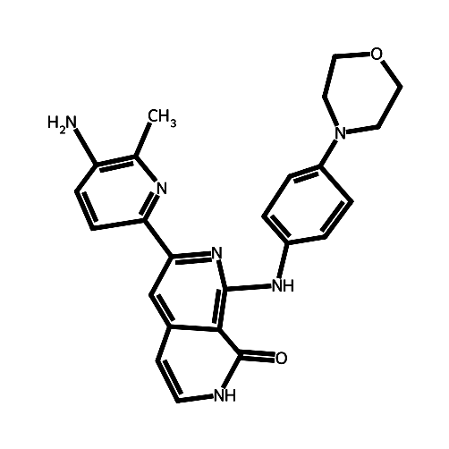 Cc1nc(-c2cc3cc[nH]c(=O)c3c(Nc3ccc(N4CCOCC4)cc3)n2)ccc1N